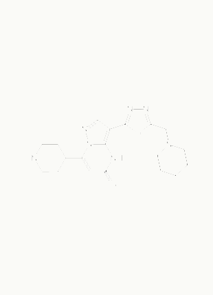 O=c1cc(C2CCNCC2)n2ncc(-c3nnc(CN4CCCCC4)o3)c2[nH]1